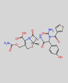 NC(=O)OCC1=C(C(=O)O)N2C(=O)[C@H](NC(=O)C(c3ccc(O)cc3)N(C(N)=O)C(=O)c3ccsc3)[C@@H]2SC1